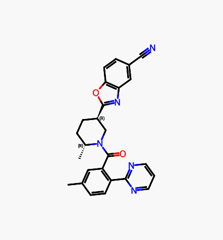 Cc1ccc(-c2ncccn2)c(C(=O)N2C[C@H](c3nc4cc(C#N)ccc4o3)CC[C@H]2C)c1